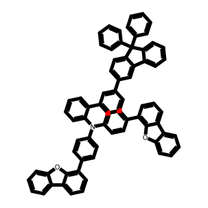 c1ccc(C2(c3ccccc3)c3ccccc3-c3cc(-c4cccc(-c5ccccc5N(c5ccc(-c6cccc7c6oc6ccccc67)cc5)c5ccc(-c6cccc7c6oc6ccccc67)cc5)c4)ccc32)cc1